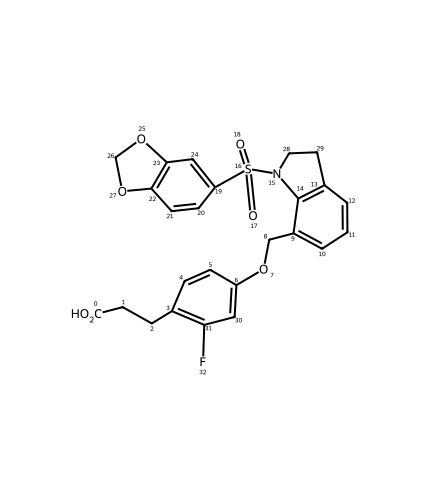 O=C(O)CCc1ccc(OCc2cccc3c2N(S(=O)(=O)c2ccc4c(c2)OCO4)CC3)cc1F